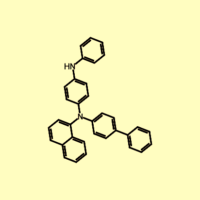 c1ccc(Nc2ccc(N(c3ccc(-c4ccccc4)cc3)c3cccc4ccccc34)cc2)cc1